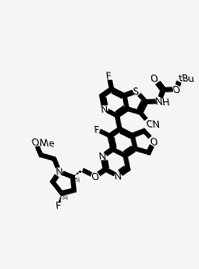 COCCN1C[C@@H](F)C[C@H]1COc1ncc2c3c(c(-c4ncc(F)c5sc(NC(=O)OC(C)(C)C)c(C#N)c45)c(F)c2n1)COC3